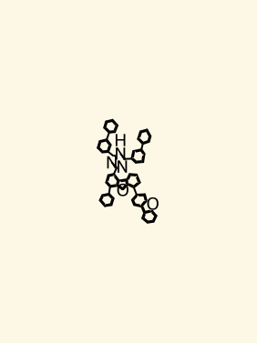 c1ccc(-c2cccc(C3=NC(c4ccc(-c5ccccc5)c5oc6c(-c7ccc8c(c7)oc7ccccc78)cccc6c45)=NC(c4cccc(-c5ccccc5)c4)N3)c2)cc1